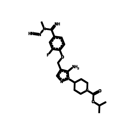 CC(C)OC(=O)N1CCC(n2ncc(COc3ccc(C(=N)N(C)N=N)cc3F)c2N)CC1